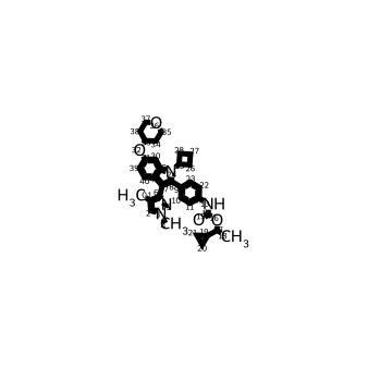 Cc1cn(C)nc1-c1c(-c2ccc(NC(=O)OC(C)C3CC3)cc2)n(C2CCC2)c2cc(OC3CCOCC3)ccc12